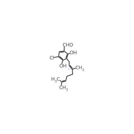 CC(C)=CCC/C(C)=C/Cc1c(O)c(Cl)cc(C=O)c1O